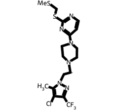 CSCSc1nccc(N2CCN([CH]Cn3nc(C(F)(F)F)c(Cl)c3C)CC2)n1